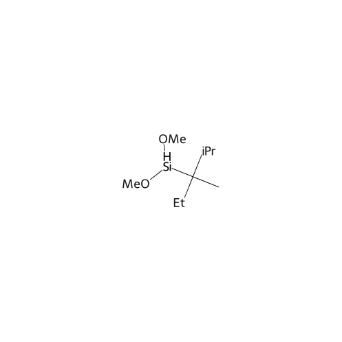 CCC(C)(C(C)C)[SiH](OC)OC